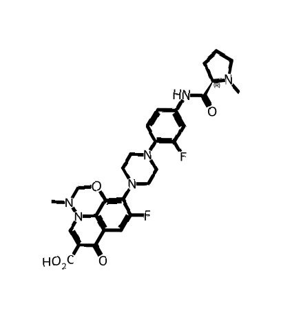 CN1CCC[C@@H]1C(=O)Nc1ccc(N2CCN(c3c(F)cc4c(=O)c(C(=O)O)cn5c4c3OCN5C)CC2)c(F)c1